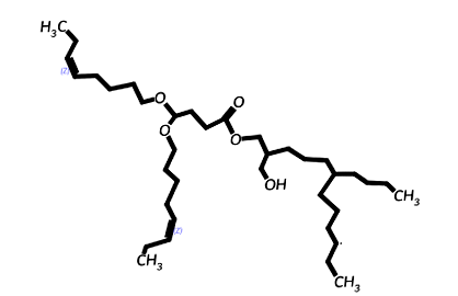 CC[CH]CCCC(CCCC)CCCC(CO)COC(=O)CCC(OCCCC/C=C\CC)OCCCC/C=C\CC